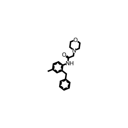 Cc1ccc(NC(=O)CN2CCOCC2)c(Cc2ccccc2)c1